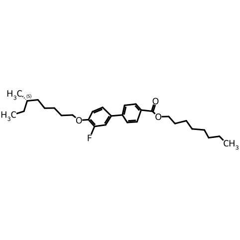 CCCCCCCCOC(=O)c1ccc(-c2ccc(OCCCCC[C@@H](C)CC)c(F)c2)cc1